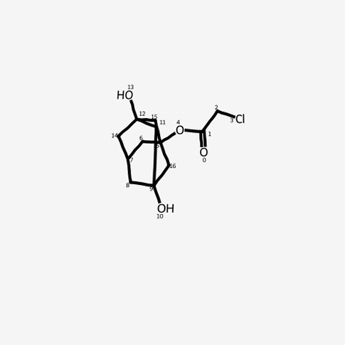 O=C(CCl)OC12CC3CC(O)(CC(O)(C3)C1)C2